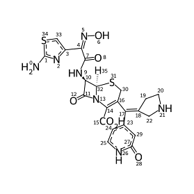 Nc1nc(/C(=N/O)C(=O)N[C@@H]2C(=O)N3C(C(=O)O)=C(/C(=C4\CCNC4)c4cc[nH]c(=O)c4)CS[C@H]23)cs1